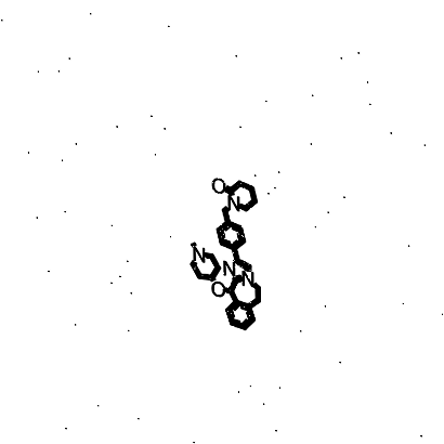 CN1CCC(OC2c3ccccc3CCn3cc(-c4ccc(CN5CCCCC5=O)cc4)nc32)CC1